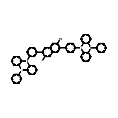 Brc1cc2cc(-c3cccc(B4c5ccccc5B(c5ccccc5)c5ccccc54)c3)c(Br)cc2cc1-c1ccc(B2c3ccccc3B(c3ccccc3)c3ccccc32)cc1